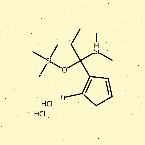 CCC(O[Si](C)(C)C)(C1=[C]([Ti])CC=C1)[SiH](C)C.Cl.Cl